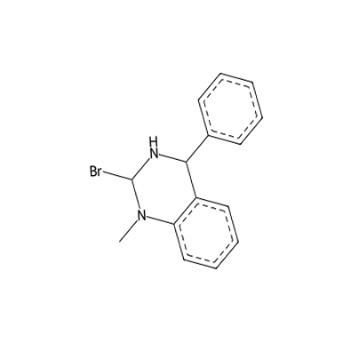 CN1c2ccccc2C(c2ccccc2)NC1Br